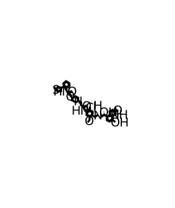 COc1cc(NC(=O)CCN2CCC(OC(=O)Nc3ccccc3-c3ccsc3)CC2)c(Cl)cc1CNC[C@H](O)c1ccc(O)c2[nH]c(=O)ccc12